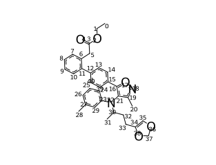 CCOC(=O)Cc1ccccc1-c1ccc(-c2onc(C)c2N(c2cccc(C)c2)C(C)CCC2=COCO2)cc1